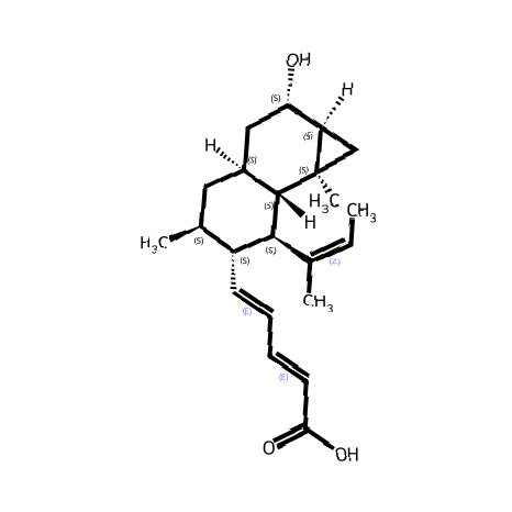 C/C=C(/C)[C@H]1[C@H](/C=C/C=C/C(=O)O)[C@@H](C)C[C@H]2C[C@H](O)[C@H]3C[C@@]3(C)[C@@H]21